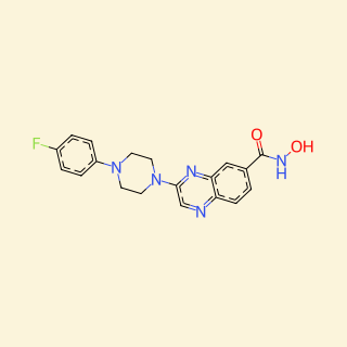 O=C(NO)c1ccc2ncc(N3CCN(c4ccc(F)cc4)CC3)nc2c1